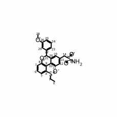 CC[S+]([O-])c1cccc2c1-c1ccc(CS(N)(=O)=O)cc1C(c1cccc(OC)c1)O2